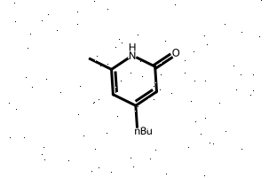 CCCCc1cc(C)[nH]c(=O)c1